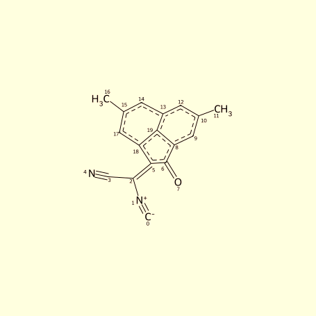 [C-]#[N+]/C(C#N)=c1\c(=O)c2cc(C)cc3cc(C)cc1c32